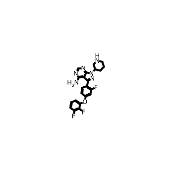 Nc1ncnc2c1c(-c1ccc(Oc3cccc(F)c3F)cc1F)nn2C1CCCNC1